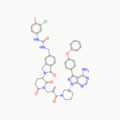 C=C(CN1C(=O)CCC(N2Cc3cc(CNC(=O)Nc4ccc(C)c(Cl)c4)ccc3C2=O)C1=O)C(=O)N1CCC[C@@H](n2nc(-c3ccc(Oc4ccccc4)cc3)c3c(N)ncnc32)C1